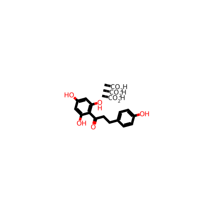 CC(=O)O.CC(=O)O.CC(=O)O.O=C(CCc1ccc(O)cc1)c1c(O)cc(O)cc1O